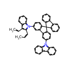 C=Cc1c(/C=C\C)n(-c2ccc3c(c2)-c2cc(-n4c5ccccc5c5ccccc54)ccc2C32c3ccccc3-c3ccccc32)c2ccccc12